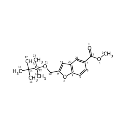 COC(=O)c1ccc2oc(CO[Si](C)(C)C(C)(C)C)cc2c1